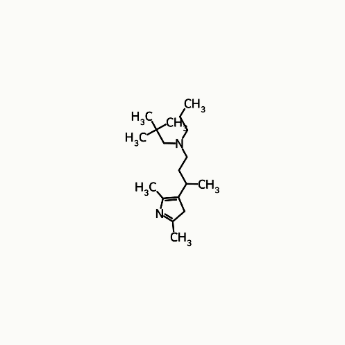 CCCN(CCC(C)C1=C(C)N=C(C)C1)CC(C)(C)C